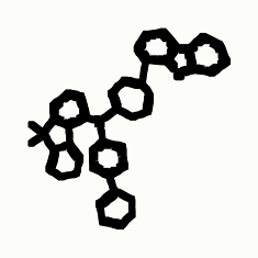 CC1(C)C2=CCCC=C2c2c(N(C3=CC=C(c4cccc5c4oc4ccccc45)C=CC3)c3ccc(C4=CC=CCC4)cc3)cccc21